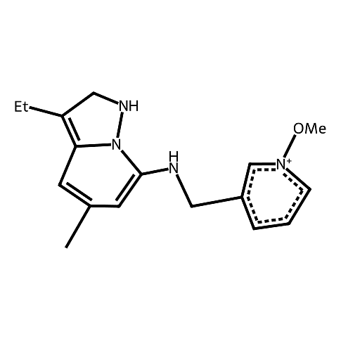 CCC1=C2C=C(C)C=C(NCc3ccc[n+](OC)c3)N2NC1